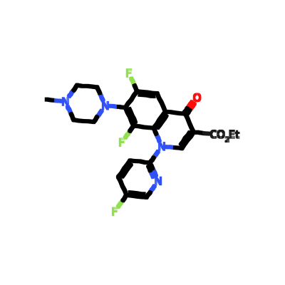 CCOC(=O)c1cn(-c2ccc(F)cn2)c2c(F)c(N3CCN(C)CC3)c(F)cc2c1=O